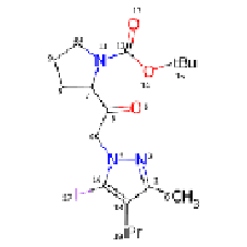 Cc1nn(CC(=O)C2CCCN2C(=O)OC(C)(C)C)c(I)c1C(C)C